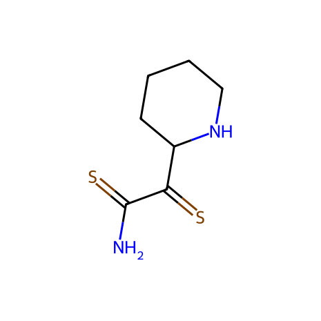 NC(=S)C(=S)C1CCCCN1